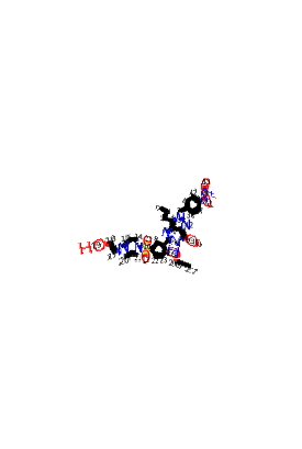 CCCc1c2nc(-c3cc(S(=O)(=O)N4CCN(CCO)CC4)ccc3OCC)[nH]c(=O)c2nn1Cc1ccc([N+](=O)[O-])cc1